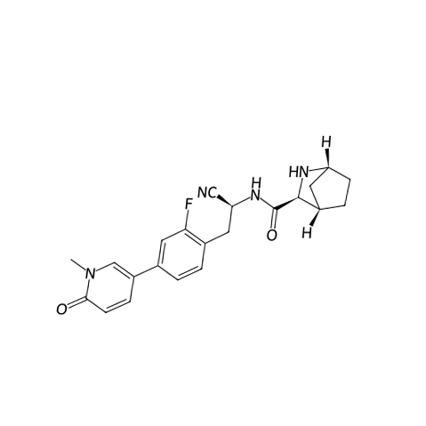 Cn1cc(-c2ccc(C[C@@H](C#N)NC(=O)[C@H]3N[C@@H]4CC[C@H]3C4)c(F)c2)ccc1=O